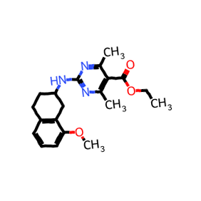 CCOC(=O)c1c(C)nc(NC2CCc3cccc(OC)c3C2)nc1C